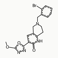 COc1nnc(-c2cc3c([nH]c2=O)CCN(Cc2ccccc2Br)C3)o1